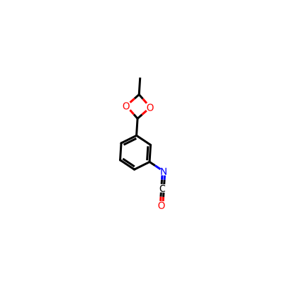 CC1OC(c2cccc(N=C=O)c2)O1